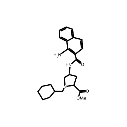 COC(=O)C1C[C@H](NC(=O)c2ccc3ccccc3c2N)CN1CC1CCCCC1